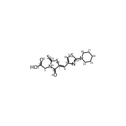 O=C(O)CN1C(=O)C(=Cc2csc(N3CCCCC3)n2)SC1=S